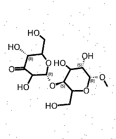 CO[C@@H]1OC(CO)[C@@H](O[C@H]2OC(CO)[C@@H](O)C(=O)C2O)C(O)[C@@H]1O